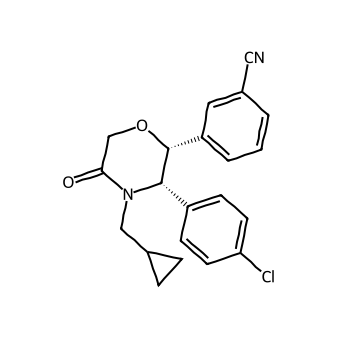 N#Cc1cccc([C@H]2OCC(=O)N(CC3CC3)[C@H]2c2ccc(Cl)cc2)c1